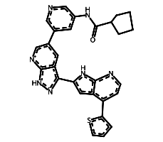 O=C(Nc1cncc(-c2cnc3[nH]nc(-c4cc5c(-c6cccs6)ccnc5[nH]4)c3c2)c1)C1CCCC1